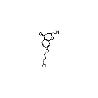 N#Cc1cc(=O)c2ccc(OCCCCl)cc2o1